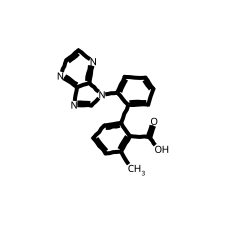 Cc1cccc(-c2ccccc2-n2cnc3nccnc32)c1C(=O)O